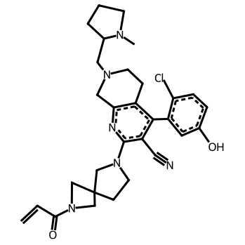 C=CC(=O)N1CC2(CCN(c3nc4c(c(-c5cc(O)ccc5Cl)c3C#N)CCN(CC3CCCN3C)C4)C2)C1